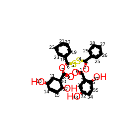 O=C(OC(SSC(OC(=O)C1C=C(O)C=CC1O)c1ccccc1)c1ccccc1)c1cc(O)ccc1O